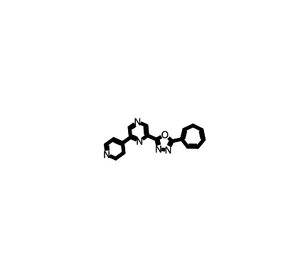 C1=CCC=C(c2nnc(-c3cncc(C4=CC=NCC4)n3)o2)C=C1